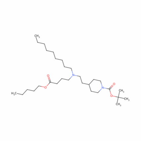 CCCCCCCCCN(CCCC(=O)OCCCCC)CCC1CCN(C(=O)OC(C)(C)C)CC1